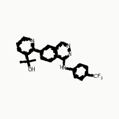 CC(C)(O)c1cccnc1-c1ccc2c(Nc3ccc(C(F)(F)F)cc3)nncc2c1